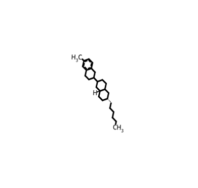 CCCCCC[C@@H]1CC[C@@H]2CC(C3CCc4cc(C)ccc4C3)CCC2C1